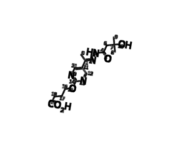 C/C(=N\NC(=O)CC(C)(C)O)c1cnc(OCCCC(=O)O)nc1